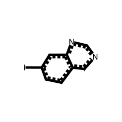 Ic1ccc2[c]ncnc2c1